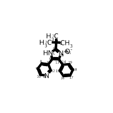 CC(C)(C)c1[nH]c(-c2cccnc2)c(-c2ccccc2)[n+]1[O-]